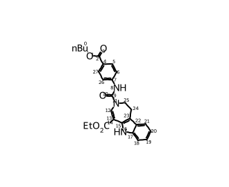 CCCCOC(=O)c1ccc(NC(=O)N2C=C(C(=O)OCC)c3[nH]c4ccccc4c3CC2)cc1